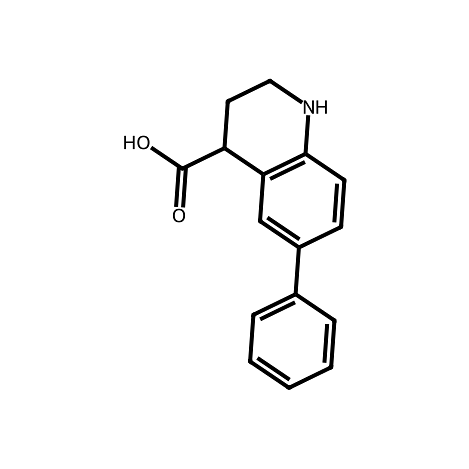 O=C(O)C1CCNc2ccc(-c3ccccc3)cc21